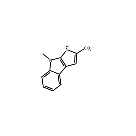 Cn1c2ccccc2c2cc(C(=O)O)[nH]c21